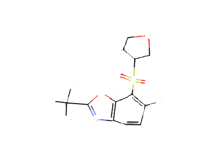 CC(C)(C)c1nc2ccc(Cl)c(S(=O)(=O)C3CCOC3)c2o1